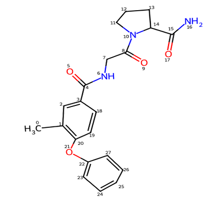 Cc1cc(C(=O)NCC(=O)N2CCCC2C(N)=O)ccc1Oc1ccccc1